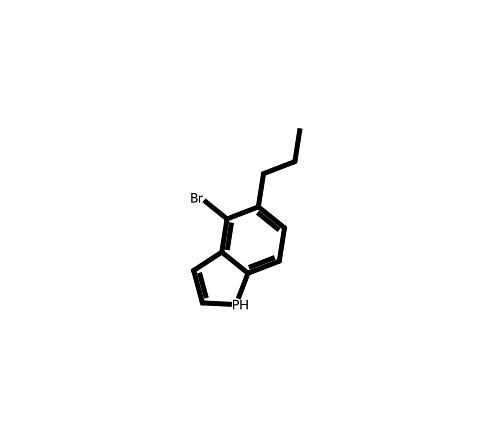 CCCc1ccc2[pH]ccc2c1Br